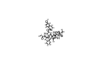 C=CC(=O)N[C@H](Cc1ccccc1)C(=O)N1CC(Oc2nccc3cc(OC)ccc23)C[C@H]1C(=O)N[C@]1(C(=O)NS(=O)(=O)C2CC2)C[C@H]1C=C